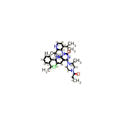 C=CC(=O)N1CCN(c2nc(=O)n(-c3c(C(C)C)ccnc3C(C)C)c3nc(-c4ccccc4C=C)c(Cl)cc23)[C@@H](C)C1